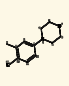 Cc1cc(N2CC[N]CC2)ccc1Cl